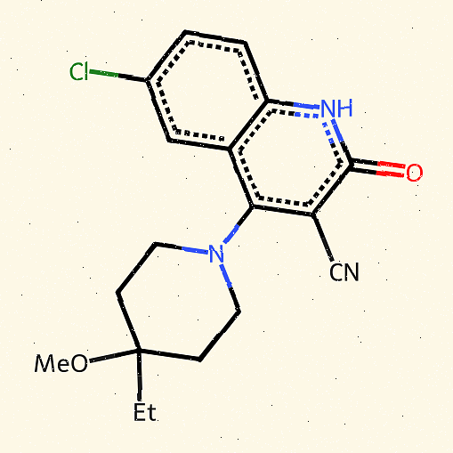 CCC1(OC)CCN(c2c(C#N)c(=O)[nH]c3ccc(Cl)cc23)CC1